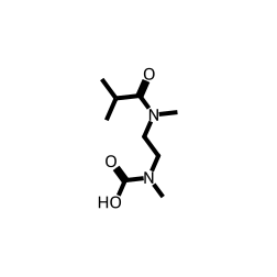 CC(C)C(=O)N(C)CCN(C)C(=O)O